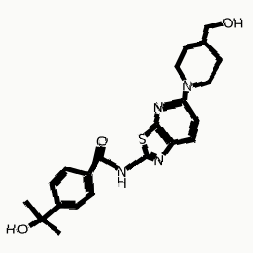 CC(C)(O)c1ccc(C(=O)Nc2nc3ccc(N4CCC(CO)CC4)nc3s2)cc1